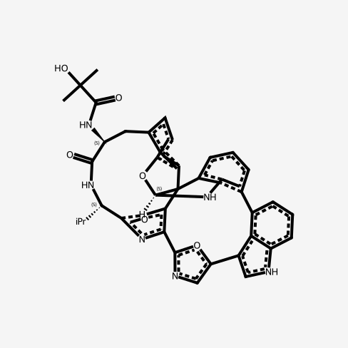 CC(C)[C@@H]1NC(=O)[C@@H](NC(=O)C(C)(C)O)Cc2ccc3c(c2)C24c5cccc(c5N[C@H]2O3)-c2cccc3[nH]cc(c23)-c2cnc(o2)-c2nc1oc24